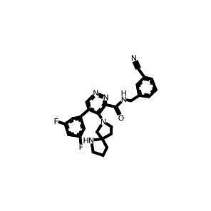 N#Cc1cccc(CNC(=O)c2nncc(-c3cc(F)cc(F)c3)c2N2CCC3(CCCN3)C2)c1